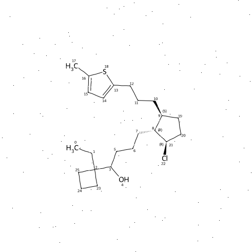 CCC1(C(O)CCC[C@@H]2[C@@H](CCCc3ccc(C)s3)CC[C@H]2Cl)CCC1